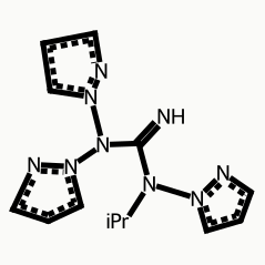 CC(C)N(C(=N)N(n1cccn1)n1cccn1)n1cccn1